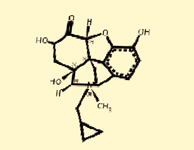 C[N@+]1(CC2CC2)CC[C@]23c4c5ccc(O)c4O[C@H]2C(=O)C(O)C[C@@]3(O)[C@H]1C5